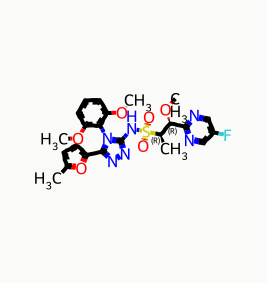 COc1cccc(OC)c1-n1c(NS(=O)(=O)[C@H](C)[C@H](OC)c2ncc(F)cn2)nnc1-c1ccc(C)o1